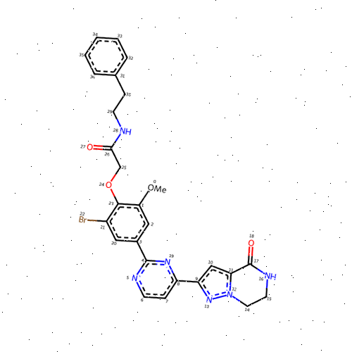 COc1cc(-c2nccc(-c3cc4n(n3)CCNC4=O)n2)cc(Br)c1OCC(=O)NCCc1ccccc1